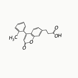 Cc1ccccc1-c1cc(=O)oc2cc(CCC(=O)O)ccc12